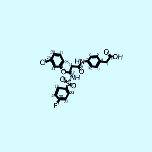 O=C(O)Cc1ccc(NC(=O)CC(NS(=O)(=O)c2ccc(F)cc2)Oc2cccc(Cl)c2)cc1